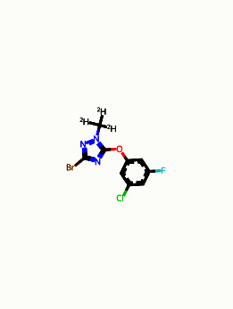 [2H]C([2H])([2H])n1nc(Br)nc1Oc1cc(F)cc(Cl)c1